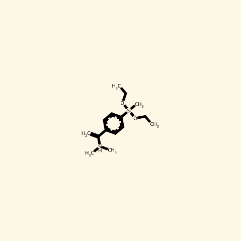 C=C(c1ccc([Si](C)(OCC)OCC)cc1)[SiH](C)C